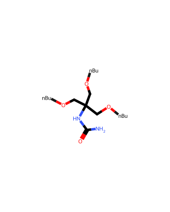 CCCCOCC(COCCCC)(COCCCC)NC(N)=O